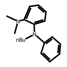 CCCCN(c1ccccc1)c1ccccc1N(C)C